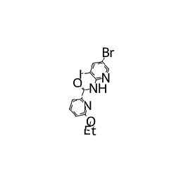 CCOc1cccc(C(=O)Nc2ncc(Br)cc2I)n1